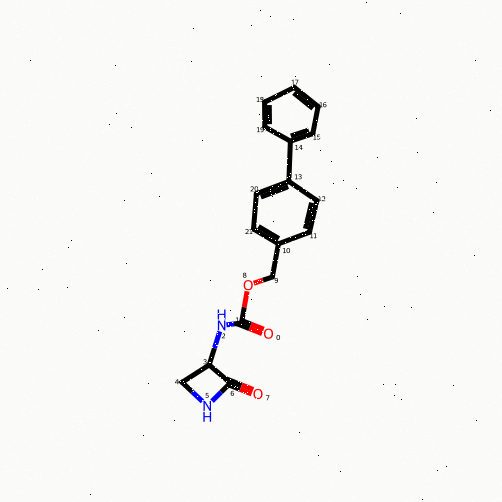 O=C(NC1CNC1=O)OCc1ccc(-c2ccccc2)cc1